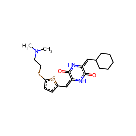 CN(C)CCSc1ccc(C=c2[nH]c(=O)c(=CC3CCCCC3)[nH]c2=O)s1